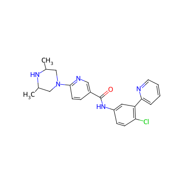 CC1CN(c2ccc(C(=O)Nc3ccc(Cl)c(-c4ccccn4)c3)cn2)CC(C)N1